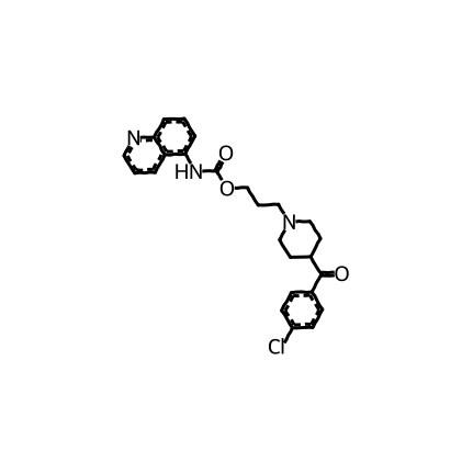 O=C(Nc1cccc2ncccc12)OCCCN1CCC(C(=O)c2ccc(Cl)cc2)CC1